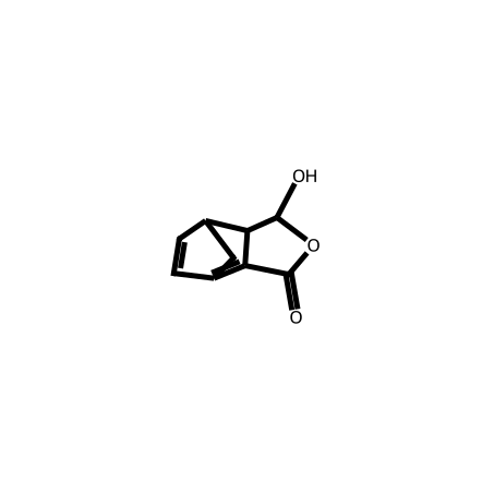 O=C1OC(O)C2C1=C1C=CC2C1